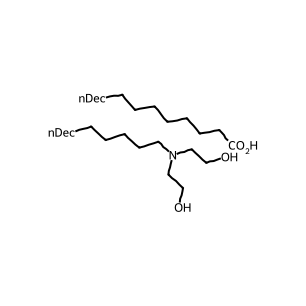 CCCCCCCCCCCCCCCCCC(=O)O.CCCCCCCCCCCCCCCN(CCO)CCO